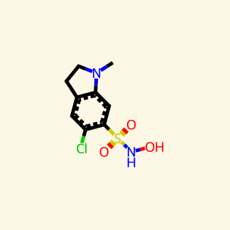 CN1CCc2cc(Cl)c(S(=O)(=O)NO)cc21